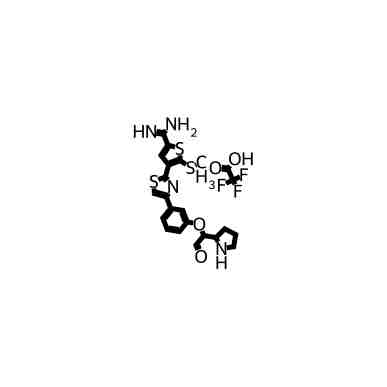 CSc1sc(C(=N)N)cc1-c1nc(-c2cccc(OC(C=O)C3CCCN3)c2)cs1.O=C(O)C(F)(F)F